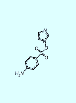 Nc1ccc(S(=O)(=O)On2ccnc2)cc1